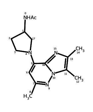 CC(=O)NC1CCN(c2cc(C)nn3c(C)c(C)nc23)C1